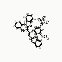 O=[N+]([O-])c1ccccc1N1C(=CC=Cc2sc3ccccc3[n+]2-c2ccccc2[N+](=O)[O-])Sc2ccccc21.[O-][Cl+3]([O-])([O-])[O-]